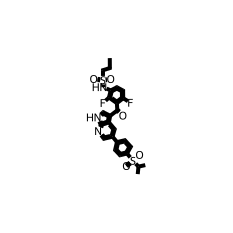 CCCS(=O)(=O)Nc1ccc(F)c(C(=O)c2c[nH]c3ncc(-c4ccc(S(=O)(=O)C(C)C)cc4)cc23)c1F